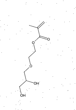 C=C(C)C(=O)OCCOCC(O)CO